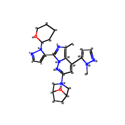 Cc1nc(-c2ccnn2C2CCCCO2)n2nc(N3CC4CCC(C3)O4)cc(-c3ccnn3C)c12